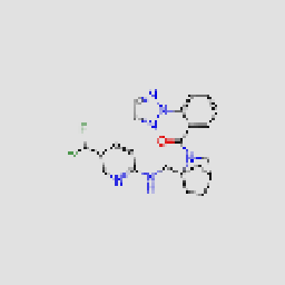 O=C(c1ccccc1-n1nccn1)N1CC2CCC1(CNc1ccc(C(F)F)cn1)C2